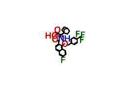 O=C(N[C@H](C(=O)O)C12CCC(CC1)C2)c1ccc2cc(F)ccc2c1OCc1ccc(C(F)(F)F)cc1